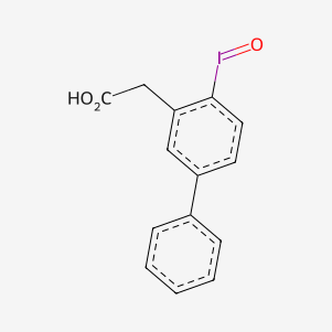 O=Ic1ccc(-c2ccccc2)cc1CC(=O)O